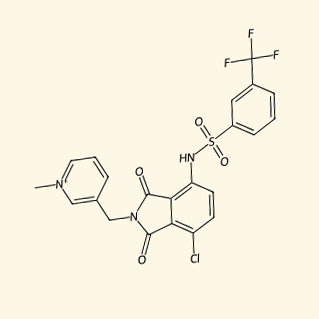 C[n+]1cccc(CN2C(=O)c3c(Cl)ccc(NS(=O)(=O)c4cccc(C(F)(F)F)c4)c3C2=O)c1